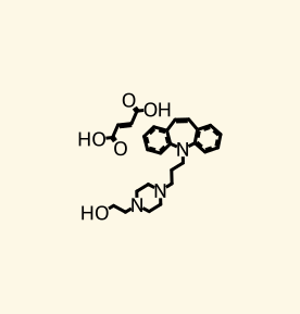 O=C(O)/C=C/C(=O)O.OCCN1CCN(CCCN2c3ccccc3C=Cc3ccccc32)CC1